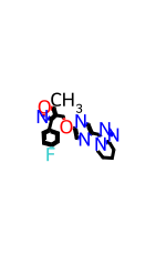 Cc1onc(-c2ccc(F)cc2)c1COc1cnc(-c2nnc3n2CCCC3)cn1